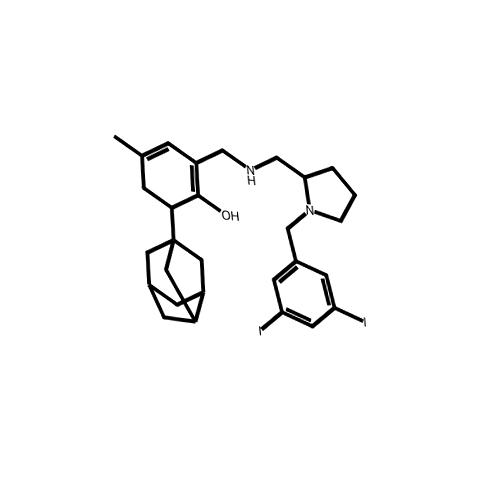 CC1=CC(CNCC2CCCN2Cc2cc(I)cc(I)c2)=C(O)C(C23CC4CC(C2)C(C4)C3)C1